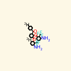 [2H]c1ccc(C(=O)c2ccc([2H])c(Oc3cccc(N)c3C(F)(F)F)c2Oc2cccc(N)c2C(F)(F)F)cc1